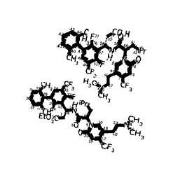 CCOC(=O)C[C@H](NC(=O)C(CC(C)C)n1cc(CCN(C)C)c(C(F)(F)F)cc1=O)c1c(F)c(-c2c(C)cccc2C)cc(C(F)(F)F)c1F.Cc1cccc(C)c1-c1cc(C(F)(F)F)c(F)c([C@H](CC(=O)O)NC(=O)C(CC(C)C)n2cc(CCN(C)C)c(C(F)(F)F)cc2=O)c1F